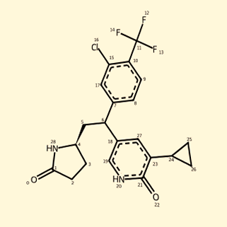 O=C1CC[C@H](CC(c2ccc(C(F)(F)F)c(Cl)c2)c2c[nH]c(=O)c(C3CC3)c2)N1